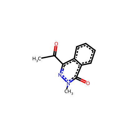 CC(=O)c1nn(C)c(=O)c2ccccc12